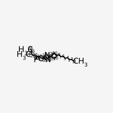 CCCCCCCCCc1ccc(-c2ncc(OCC(F)CCC(C)CC)cn2)cc1